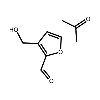 CC(C)=O.O=Cc1occc1CO